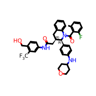 Cc1cccc(F)c1C(=O)N1c2ccccc2C[C@H](CC(=O)Nc2ccc(CO)c(C(F)(F)F)c2)[C@@H]1c1ccc(NC2CCOCC2)cc1